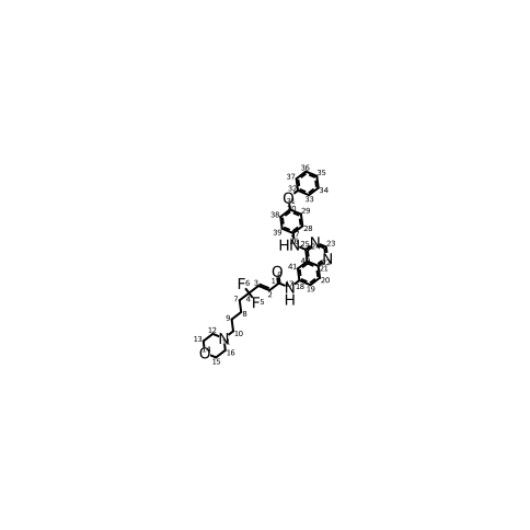 O=C(C=CC(F)(F)CCCCN1CCOCC1)Nc1ccc2ncnc(Nc3ccc(Oc4ccccc4)cc3)c2c1